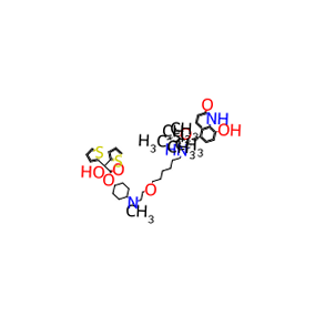 CN(CCOCCCCCCNC[C@H](O[Si](C)(C)C(C)(C)C)c1ccc(O)c2[nH]c(=O)ccc12)[C@H]1CC[C@H](OC(=O)C(O)(c2cccs2)c2cccs2)CC1